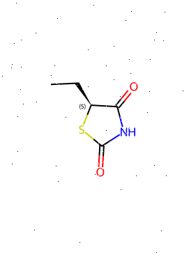 CC[C@@H]1SC(=O)NC1=O